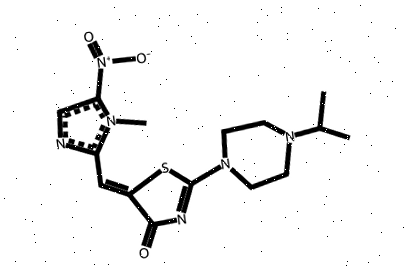 CC(C)N1CCN(C2=NC(=O)/C(=C/c3ncc([N+](=O)[O-])n3C)S2)CC1